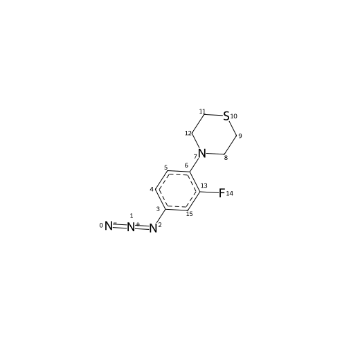 [N-]=[N+]=Nc1ccc(N2CCSCC2)c(F)c1